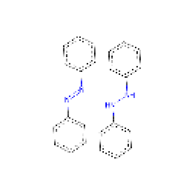 c1ccc(N=Nc2ccccc2)cc1.c1ccc(NNc2ccccc2)cc1